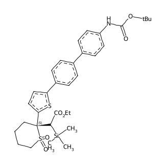 CCOC(=O)C([C@]1(c2ccc(-c3ccc(-c4ccc(NC(=O)OC(C)(C)C)cc4)cc3)s2)CCCCS1(=O)=O)[Si](C)(C)C